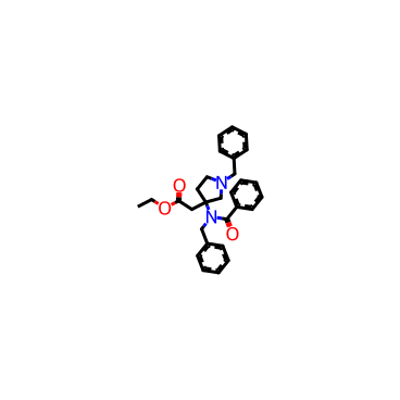 CCOC(=O)CC1(N(Cc2ccccc2)C(=O)c2ccccc2)CCN(Cc2ccccc2)C1